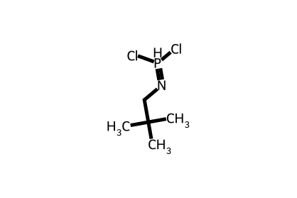 CC(C)(C)CN=[PH](Cl)Cl